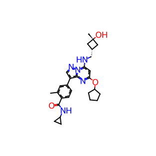 Cc1cc(-c2cnn3c(NC[C@H]4C[C@@](C)(O)C4)cc(OC4CCCC4)nc23)ccc1C(=O)NC1CC1